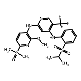 COc1nc(P(C)(C)=O)ccc1Nc1cc(Nc2ccccc2S(=O)(=O)C(C)C)c(C(F)(F)F)cn1